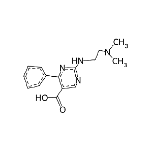 CN(C)CCNc1ncc(C(=O)O)c(-c2ccccc2)n1